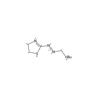 CCCCC/N=N/C1=NCCS1